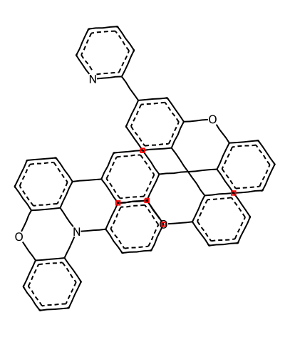 c1ccc(N2c3ccccc3Oc3cccc(-c4ccc5c(c4)Oc4ccccc4C54c5ccccc5Oc5cc(-c6ccccn6)ccc54)c32)cc1